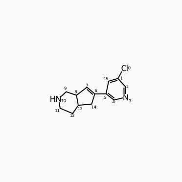 Clc1cncc(C2=CC3CNCCC3C2)c1